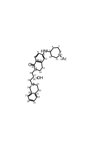 CC(=O)N1CCCC(Nc2ccc3c(c2)CCN(C[C@H](O)CN2CCc4ccccc4C2)C3=O)CC1